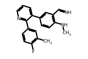 CNc1ccc(-c2cccnc2-c2ccc(F)c(C)c2)cc1C=N